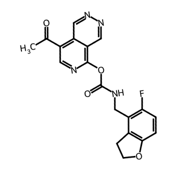 CC(=O)c1cnc(OC(=O)NCc2c(F)ccc3c2CCO3)c2cnncc12